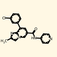 Cc1cn2cc(C(=O)Nc3ccncc3)cc(-c3cccc(Cl)c3)c2n1